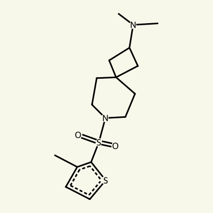 Cc1ccsc1S(=O)(=O)N1CCC2(CC1)CC(N(C)C)C2